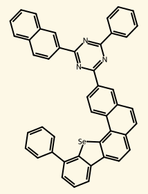 c1ccc(-c2nc(-c3ccc4ccccc4c3)nc(-c3ccc4c(ccc5ccc6c7cccc(-c8ccccc8)c7[se]c6c54)c3)n2)cc1